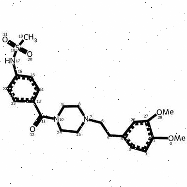 COc1ccc(CCN2CCN(C(=O)c3ccc(NS(C)(=O)=O)cc3)CC2)cc1OC